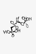 O=P(O)(O)CS(=O)(=O)NOP(=O)(O)O